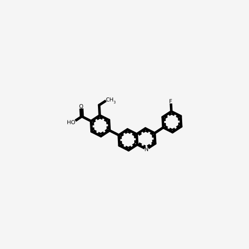 CCc1cc(-c2ccc3ncc(-c4cccc(F)c4)cc3c2)ccc1C(=O)O